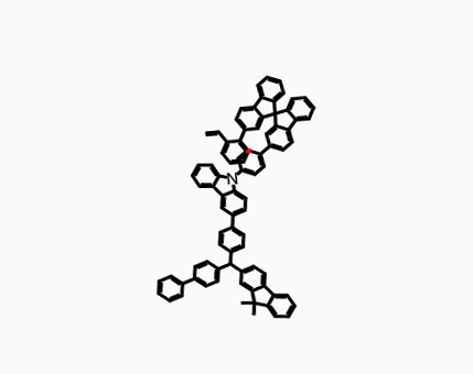 C=Cc1ccccc1-c1ccc2c(c1)C1(c3ccccc3-c3ccc(-c4ccc(-n5c6ccccc6c6cc(-c7ccc(C(c8ccc(-c9ccccc9)cc8)c8ccc9c(c8)C(C)(C)c8ccccc8-9)cc7)ccc65)cc4)cc31)c1ccccc1-2